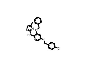 Cc1csc(Nc2ncc(SCc3ccc(Cl)cc3)cc2OCc2ccccc2)n1